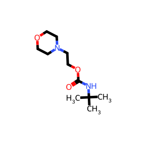 CC(C)(C)NC(=O)OCCN1CCOCC1